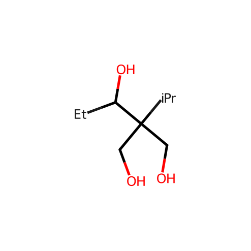 CCC(O)C(CO)(CO)C(C)C